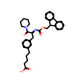 O=C(O)CCCCc1cccc(C/C(=N\C(=O)OCC2c3ccccc3-c3ccccc32)C(=O)N2CCCCC2)c1